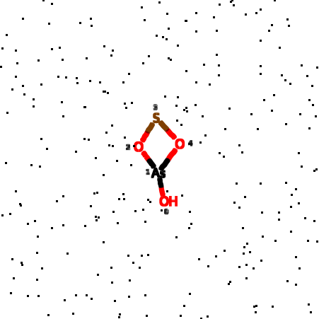 O[As]1OSO1